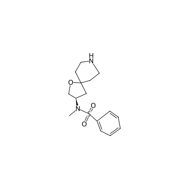 CN([C@H]1COC2(CCNCC2)C1)S(=O)(=O)c1ccccc1